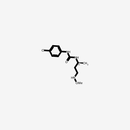 CONCC[C@H](C)NC(=O)Nc1ccc(Cl)cc1